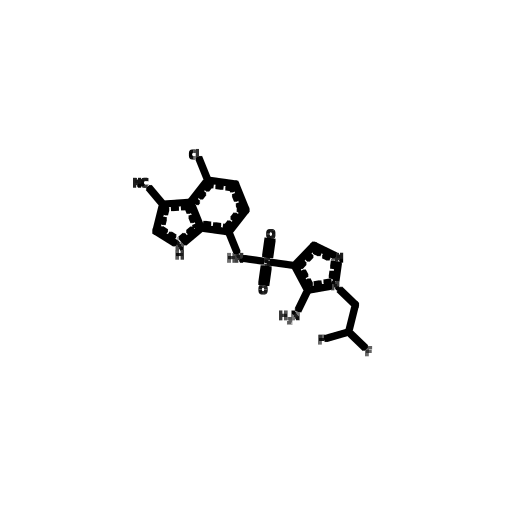 N#Cc1c[nH]c2c(NS(=O)(=O)c3cnn(CC(F)F)c3N)ccc(Cl)c12